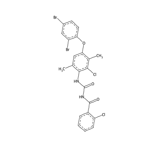 Cc1cc(Oc2ccc(Br)cc2Br)c(C)c(Cl)c1NC(=O)NC(=O)c1ccccc1Cl